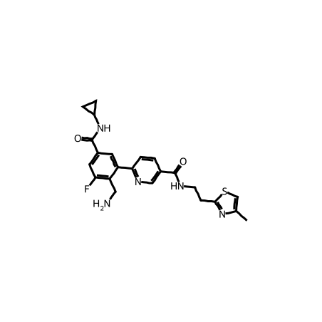 Cc1csc(CCNC(=O)c2ccc(-c3cc(C(=O)NC4CC4)cc(F)c3CN)nc2)n1